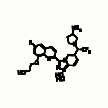 Cl.Cl.NC1CCN([C@H](c2ccc3nnc(-c4ccc5cc(F)cc(OCCO)c5n4)n3c2)C(F)(F)F)C1